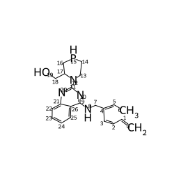 C=C/C=C\C(=C/C)CNc1nc(N2CCPCC2CO)nc2ccccc12